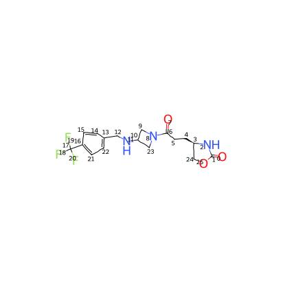 O=C1N[C@H](CCC(=O)N2CC(NCc3ccc(C(F)(F)F)cc3)C2)CO1